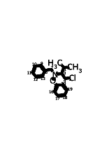 CC(C)C(CCl)N(Cc1ccccc1)Oc1ccccc1